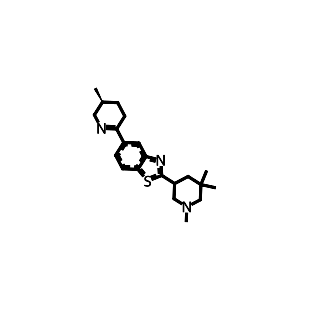 C[C@H]1CCC(c2ccc3sc(C4CN(C)CC(C)(C)C4)nc3c2)=NC1